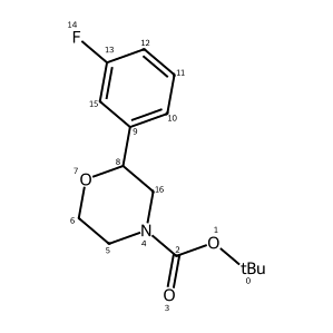 CC(C)(C)OC(=O)N1CCOC(c2cccc(F)c2)C1